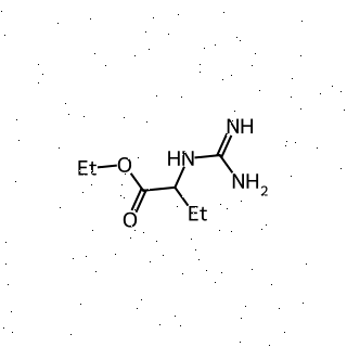 CCOC(=O)C(CC)NC(=N)N